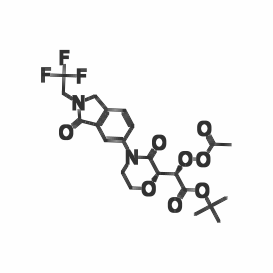 CC(=O)OO[C@@H](C(=O)OC(C)(C)C)[C@H]1OCCN(c2ccc3c(c2)C(=O)N(CC(F)(F)F)C3)C1=O